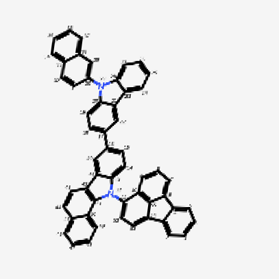 c1ccc2c(c1)-c1cccc3c(-n4c5ccc(-c6ccc7c(c6)c6ccccc6n7-c6ccc7ccccc7c6)cc5c5ccc6ccccc6c54)ccc-2c13